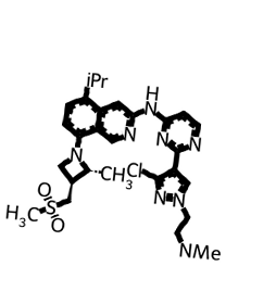 CNCCn1cc(-c2nccc(Nc3cc4c(C(C)C)ccc(N5C[C@H](CS(C)(=O)=O)[C@H]5C)c4cn3)n2)c(Cl)n1